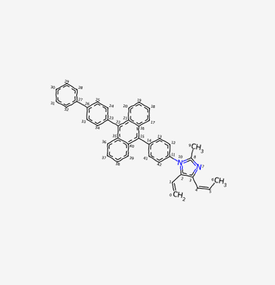 C=Cc1c(/C=C\C)nc(C)n1-c1ccc(-c2c3ccccc3c(-c3ccc(-c4ccccc4)cc3)c3ccccc23)cc1